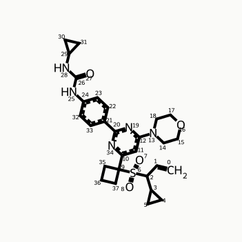 C=CC(C1CC1)S(=O)(=O)C1(c2cc(N3CCOCC3)nc(-c3ccc(NC(=O)NC4CC4)cc3)n2)CCC1